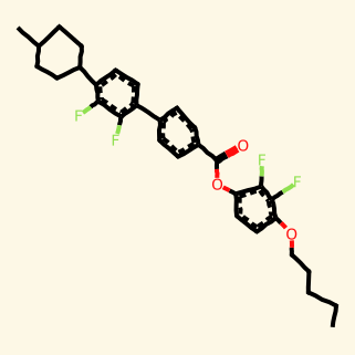 CCCCCOc1ccc(OC(=O)c2ccc(-c3ccc(C4CCC(C)CC4)c(F)c3F)cc2)c(F)c1F